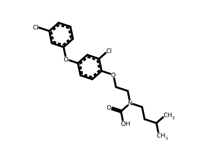 CC(C)CCN(CCOc1ccc(Oc2cccc(Cl)c2)cc1Cl)C(=O)O